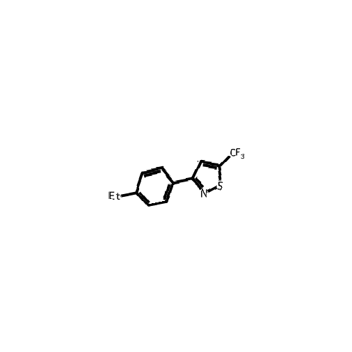 CCc1ccc(-c2[c]c(C(F)(F)F)sn2)cc1